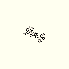 CC(C)(C)c1ccc(N(c2cccc(F)c2)c2ccc3c(c2)C(C)(C)c2cc(N(c4cccc(F)c4)c4ccc(C(C)(C)C)c5ccccc45)c4ccccc4c2-3)c2ccccc12